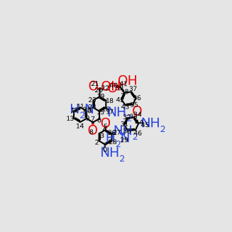 Nc1ccc(OC(C(=O)c2ccccc2)c2c(N)cc(C(=O)O)cc2N)c(N)c1.Nc1ccc(Oc2ccc(C(=O)O)cc2)c(N)c1